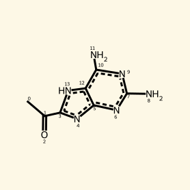 CC(=O)c1nc2nc(N)nc(N)c2[nH]1